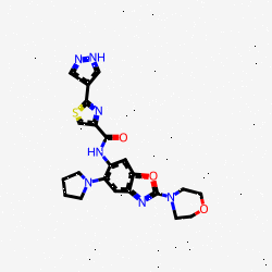 O=C(Nc1cc2oc(N3CCOCC3)nc2cc1N1CCCC1)c1csc(-c2cn[nH]c2)n1